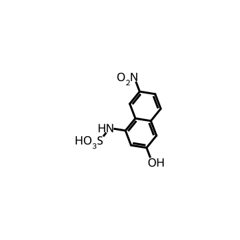 O=[N+]([O-])c1ccc2cc(O)cc(NS(=O)(=O)O)c2c1